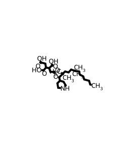 CCCCCCCC(C)(C)CCCC(C)(C)C(OC(=O)CC(C(=O)O)C(CC(=O)O)C(=O)O)C1CCNCC1